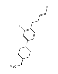 COC[C@H]1CC[C@H](c2ccc(CCC=CF)c(F)c2)CC1